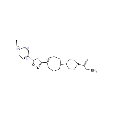 BCC(=O)N1CCC(C2CC/C=C(/C3=NOC(C(/C=C\C=C/C)=C/C)C3)CCC2)CC1